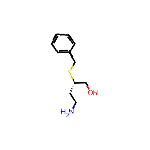 NCC[C@@H](CO)SCc1ccccc1